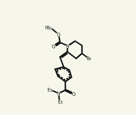 CCN(CC)C(=O)c1ccc(/C=C2\CC(Br)CCN2C(=O)OC(C)(C)C)cc1